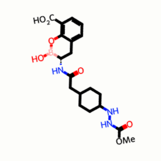 COC(=O)NNC1CCC(CC(=O)N[C@H]2Cc3cccc(C(=O)O)c3OB2O)CC1